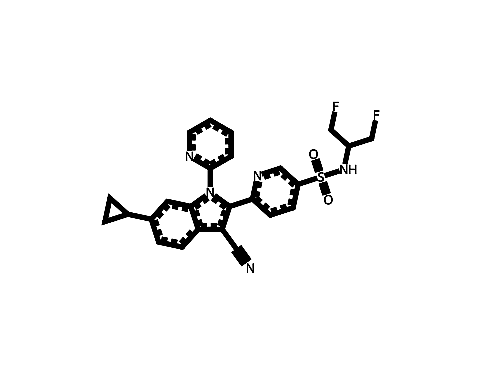 N#Cc1c(-c2ccc(S(=O)(=O)NC(CF)CF)cn2)n(-c2ccccn2)c2cc(C3CC3)ccc12